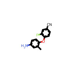 Cc1cc(N)ccc1Oc1ccc(C#N)cc1F